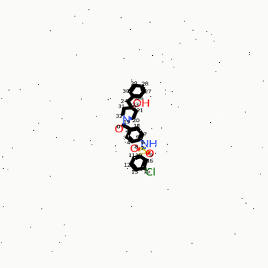 O=C(c1ccc(NS(=O)(=O)c2cccc(Cl)c2)cc1)N1CCC(O)(Cc2ccccc2)CC1